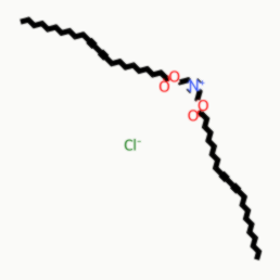 CCCCCCCCCCC#CC#CCCCCCCCCC(=O)OCC[N+](C)(C)CCOC(=O)CCCCCCCCC#CC#CCCCCCCCCCC.[Cl-]